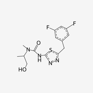 CC(CO)N(C)C(=O)Nc1nnc(Cc2cc(F)cc(F)c2)s1